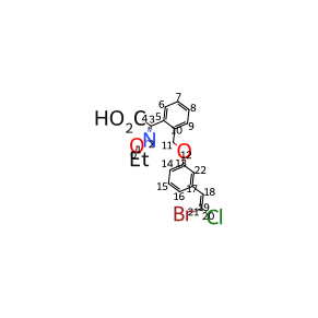 CCON=C(C(=O)O)c1ccccc1COc1cccc(C=C(Cl)Br)c1